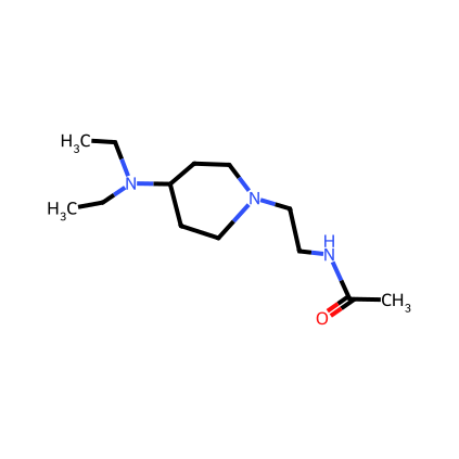 CCN(CC)C1CCN(CCNC(C)=O)CC1